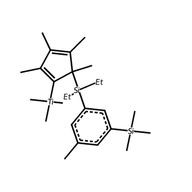 CC[Si](CC)(c1cc(C)cc([Si](C)(C)C)c1)C1(C)C(C)=C(C)C(C)=[C]1[Ti]([CH3])([CH3])[CH3]